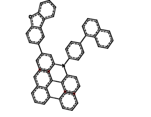 c1ccc(-c2cccc3cccc(-c4ccccc4N(c4ccc(-c5cccc6ccccc56)cc4)c4cccc(-c5ccc6oc7ccccc7c6c5)c4)c23)cc1